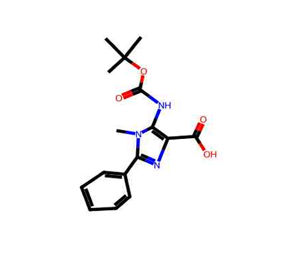 Cn1c(-c2ccccc2)nc(C(=O)O)c1NC(=O)OC(C)(C)C